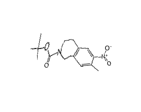 Cc1cc2c(cc1[N+](=O)[O-])CCN(C(=O)OC(C)(C)C)C2